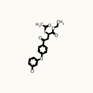 CCOC(=O)C(CC(=O)c1ccc(Oc2cccc(Cl)c2)cc1)SC(C)=O